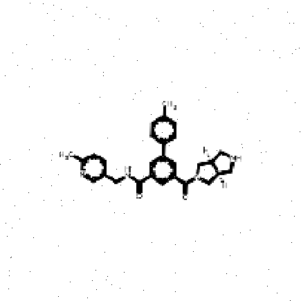 Cc1ccc(-c2cc(C(=O)NCc3ccc(C)nc3)cc(C(=O)N3C[C@H]4CNC[C@H]4C3)c2)cc1